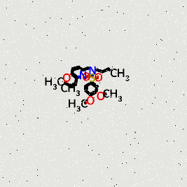 CCCCN(Cc1ccc2c(n1)C=CC(C)(C)O2)S(=O)(=O)c1ccc(OC)c(OC)c1